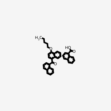 CCCCCOc1ccc(C(=O)c2cccc3ccccc23)c2ccccc12.O=C(O)c1cccc2ccccc12